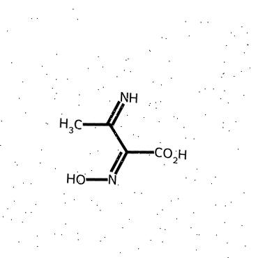 CC(=N)C(=NO)C(=O)O